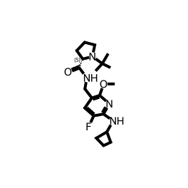 COc1nc(NC2CCC2)c(F)cc1CNC(=O)[C@@H]1CCCN1C(C)(C)C